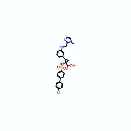 Cn1ccnc1CNc1cccc(C2CC2(NS(=O)(=O)c2ccc(-c3ccc(Cl)cc3)cc2)C(=O)O)c1